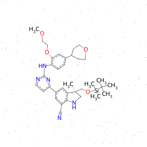 COCCOc1cc(C2CCOCC2)ccc1Nc1nccc(-c2cc(C#N)c3c(c2)[C@@](C)(CO[Si](C)(C)C(C)(C)C)CN3)n1